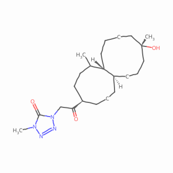 CC1CC[C@H](C(=O)Cn2nnn(C)c2=O)CCC[C@@H]2CCC[C@@](C)(O)CCCC[C@@H]12